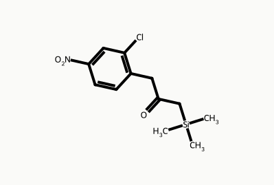 C[Si](C)(C)CC(=O)Cc1ccc([N+](=O)[O-])cc1Cl